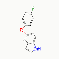 Fc1ccc(Oc2ccc3[nH]ccc3c2)cc1